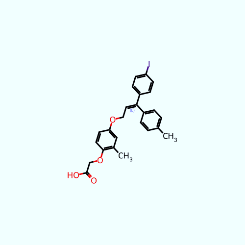 Cc1ccc(/C(=C\COc2ccc(OCC(=O)O)c(C)c2)c2ccc(I)cc2)cc1